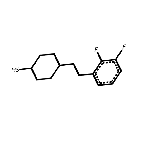 Fc1cccc(CCC2CCC(S)CC2)c1F